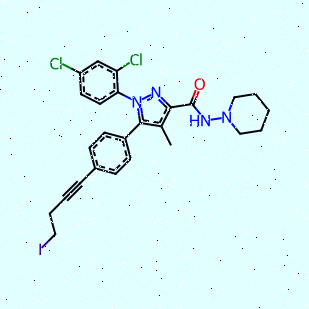 Cc1c(C(=O)NN2CCCCC2)nn(-c2ccc(Cl)cc2Cl)c1-c1ccc(C#CCCI)cc1